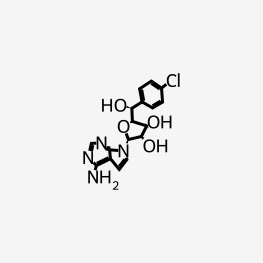 Nc1ncnc2c1ccn2[C@@H]1O[C@H]([C@H](O)c2ccc(Cl)cc2)[C@@H](O)[C@H]1O